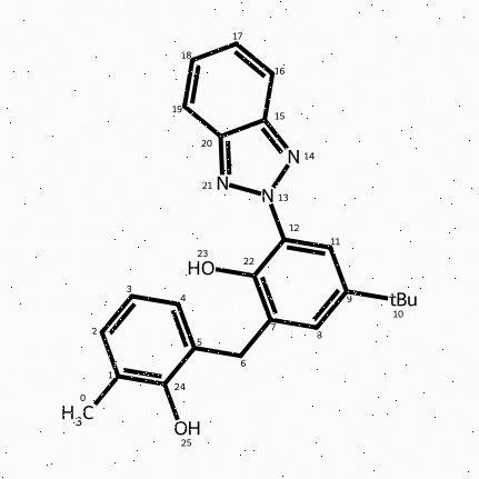 Cc1cccc(Cc2cc(C(C)(C)C)cc(-n3nc4ccccc4n3)c2O)c1O